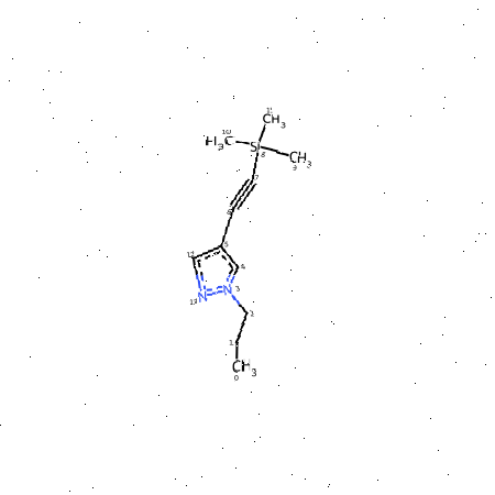 CCCn1cc(C#C[Si](C)(C)C)cn1